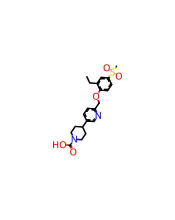 CCc1cc(S(C)(=O)=O)ccc1OCc1ccc(C2CCN(C(=O)O)CC2)cn1